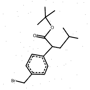 CC(C)CC(C(=O)OC(C)(C)C)c1ccc(CBr)cc1